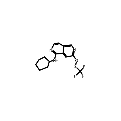 FC(F)(F)SOc1cc2c(NC3CCCCC3)nccc2cn1